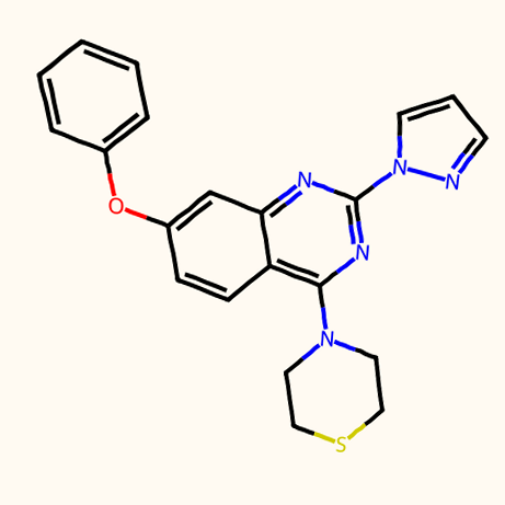 c1ccc(Oc2ccc3c(N4CCSCC4)nc(-n4cccn4)nc3c2)cc1